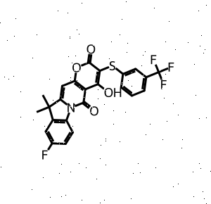 CC1(C)c2cc(F)ccc2-n2c1cc1oc(=O)c(Sc3cccc(C(F)(F)F)c3)c(O)c1c2=O